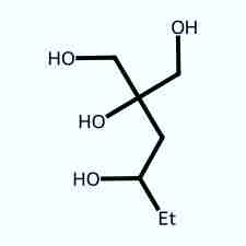 CCC(O)CC(O)(CO)CO